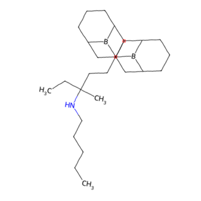 CCCCCNC(C)(CC)CCC(B1C2CCCC1CCC2)B1C2CCCC1CCC2